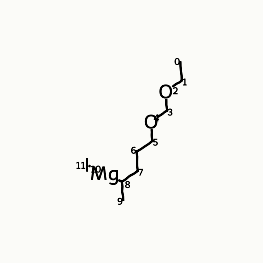 CCOCOCCC[CH](C)[Mg][I]